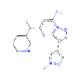 CC(c1cc(N)n2ncc(-c3cnn(C)c3)c2n1)C1CCCNC1